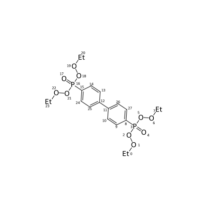 CCOOP(=O)(OOCC)c1ccc(-c2ccc(P(=O)(OOCC)OOCC)cc2)cc1